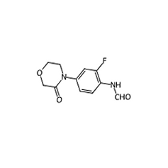 O=CNc1ccc(N2CCOCC2=O)cc1F